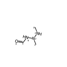 CNN(C)NC=O